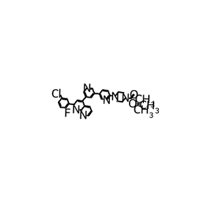 CC(C)(C)OC(=O)N1CCN(c2ccc(-c3cncc(-c4cc(-c5cc(Cl)ccc5F)nc5ncccc45)c3)cn2)CC1